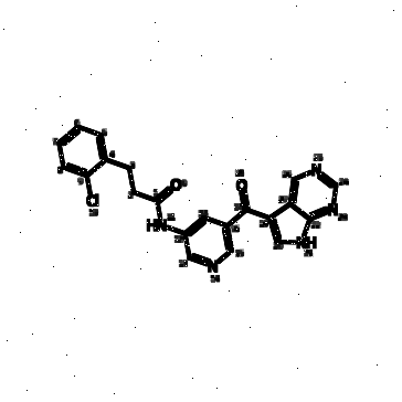 O=C(CCc1ccccc1Cl)Nc1cncc(C(=O)c2c[nH]c3ncncc23)c1